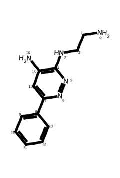 NCCNc1nnc(-c2ccccc2)cc1N